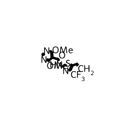 C=Cc1sc(NC(=O)c2c(OC)ncnc2OC)nc1C(F)(F)F